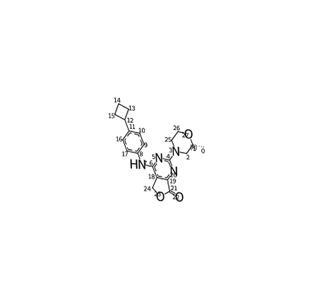 C[C@@H]1CN(c2nc(Nc3ccc(C4CCC4)cc3)c3c(n2)C(=O)OC3)CCO1